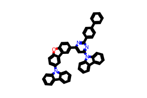 c1ccc(-c2ccc(-c3nc(-c4ccc5oc6ccc(-n7c8ccccc8c8ccccc87)cc6c5c4)cc(-n4c5ccccc5c5ccccc54)n3)cc2)cc1